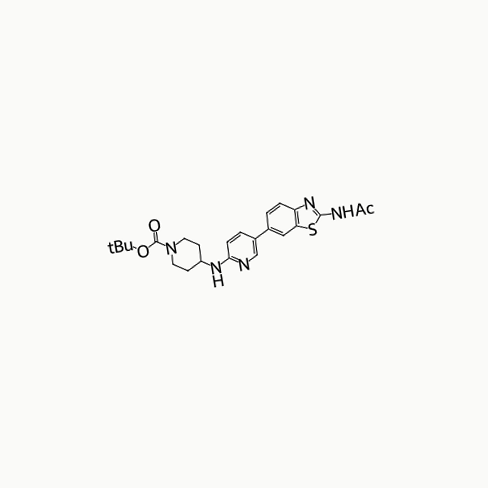 CC(=O)Nc1nc2ccc(-c3ccc(NC4CCN(C(=O)OC(C)(C)C)CC4)nc3)cc2s1